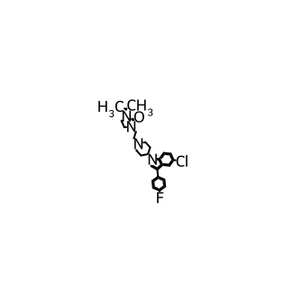 CC(C)N1CCN(CCN2CCC(n3cc(-c4ccc(F)cc4)c4cc(Cl)ccc43)CC2)C1=O